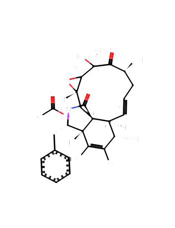 CC(=O)O[C@@H]1[C@@H]2O[C@H]2[C@@](C)(O)C(=O)[C@@H](C)C/C=C/[C@H]2[C@H](O)C(C)=C(C)[C@@H]3[C@H](Cc4ccccc4)NC(=O)[C@]132